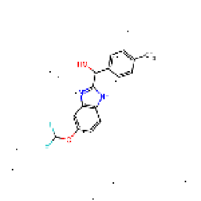 OC(c1ccc(C(F)(F)F)cc1)c1nc2cc(OC(F)F)ccc2[nH]1